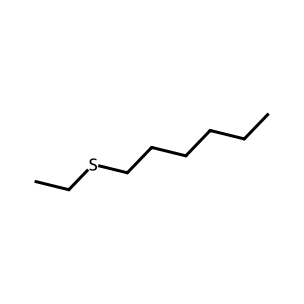 CCCCCCSCC